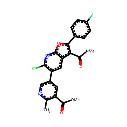 CNC(=O)c1c(-c2ccc(F)cc2)oc2nc(Cl)c(-c3cnc(C)c(C(=O)OC)c3)cc12